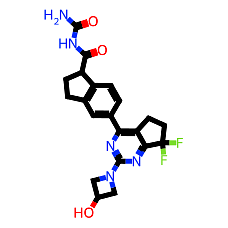 NC(=O)NC(=O)C1CCc2cc(-c3nc(N4CC(O)C4)nc4c3CCC4(F)F)ccc21